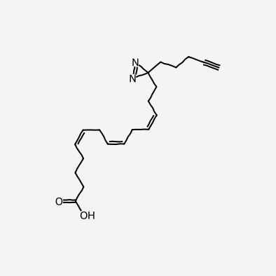 C#CCCCC1(CC/C=C\C/C=C\C/C=C\CCCC(=O)O)N=N1